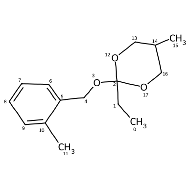 CCC1(OCc2ccccc2C)OCC(C)CO1